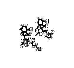 CC(=O)OC1=C(N2CCCC2=O)OC(C)(c2ccccc2Cl)C1=O.CC(=O)OC1=C(NC(=O)CCCBr)OC(C)(c2ccccc2Cl)C1=O